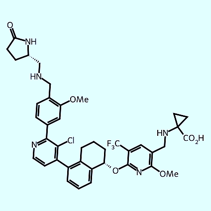 COc1cc(-c2nccc(-c3cccc4c3CCC[C@@H]4Oc3nc(OC)c(CNC4(C(=O)O)CC4)cc3C(F)(F)F)c2Cl)ccc1CNC[C@@H]1CCC(=O)N1